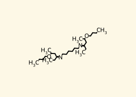 CCCCOC(C)CC(CC)=NCCCCCCN=C(CC)CC(C)OCCCC